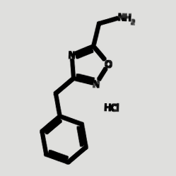 Cl.NCc1nc(Cc2ccccc2)no1